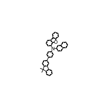 CC1(C)c2ccccc2-c2cc(-c3ccc(N(c4ccc5ccccc5c4)c4cccc5c4oc4ccccc45)cc3)ccc21